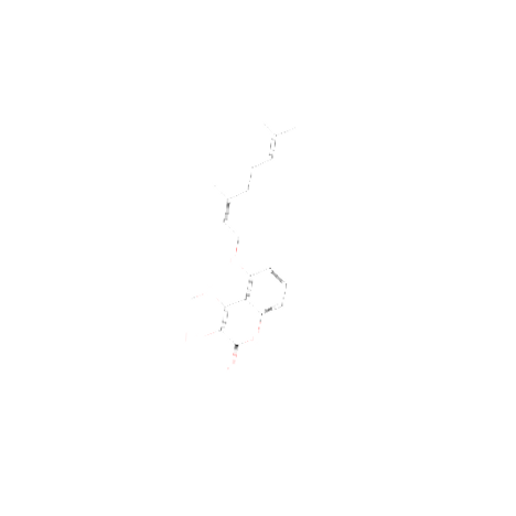 COc1c(O)c(=O)oc2cccc(OCC=C(C)CCC=C(C)C)c12